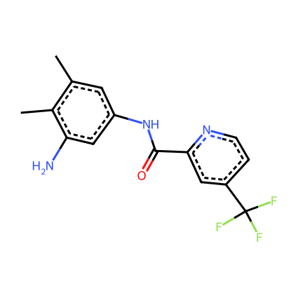 Cc1cc(NC(=O)c2cc(C(F)(F)F)ccn2)cc(N)c1C